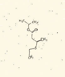 CCSC(C)CC(=O)OC(C)C